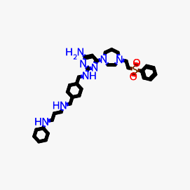 Nc1cc(N2CCCN(CCS(=O)(=O)c3ccccc3)CC2)nc(NCC2CCC(CNCCCNC3CCCCC3)CC2)n1